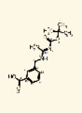 CC(C)(C)OC(=O)/N=C(\N)NCc1cccc(C(=O)O)c1